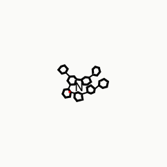 Cc1cccc(-c2ccc(-c3ccccc3)cc2)c1-n1c2ccc(-c3ccccc3)cc2c2cc(-c3ccccc3)cc(-c3ccccc3)c21